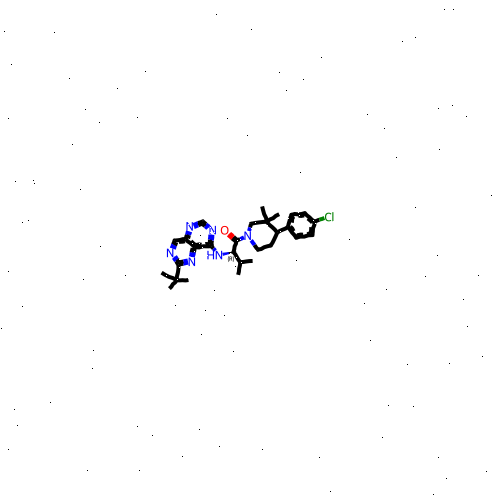 CC(C)[C@@H](Nc1ncnc2cnc(C(C)(C)C)nc12)C(=O)N1CCC(c2ccc(Cl)cc2)C(C)(C)C1